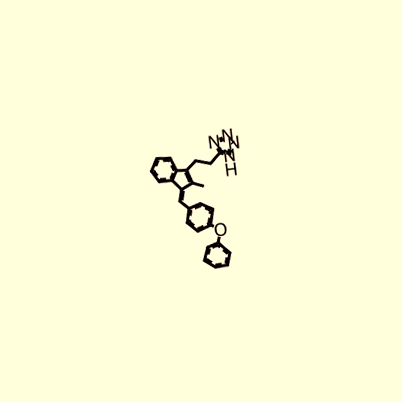 CC1=C(CCc2nnn[nH]2)c2ccccc2/C1=C/c1ccc(Oc2ccccc2)cc1